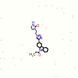 C=CC(=O)n1c2ccccc2c2cc(-c3cn(CCN4CCNC4=O)nn3)ccc21